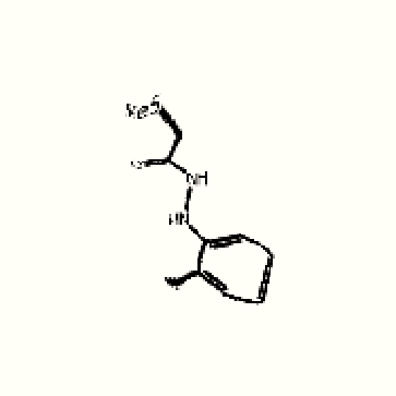 CSCC(=O)NNc1ccccc1C